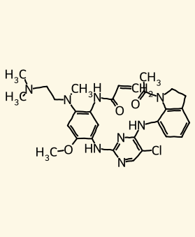 C=CC(=O)Nc1cc(Nc2ncc(Cl)c(Nc3cccc4c3N(C(C)=O)CC4)n2)c(OC)cc1N(C)CCN(C)C